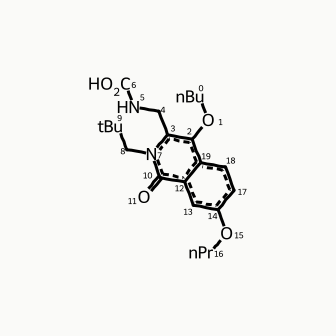 CCCCOc1c(CNC(=O)O)n(CC(C)(C)C)c(=O)c2cc(OCCC)ccc12